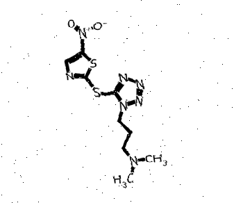 CN(C)CCCn1nnnc1Sc1ncc([N+](=O)[O-])s1